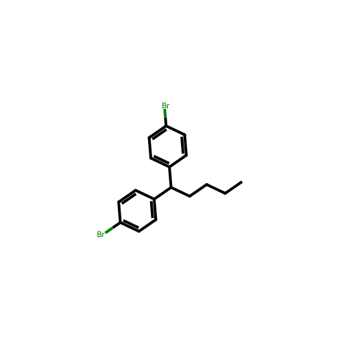 CCCCC(c1ccc(Br)cc1)c1ccc(Br)cc1